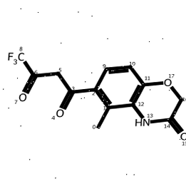 Cc1c(C(=O)CC(=O)C(F)(F)F)ccc2c1NC(=O)CO2